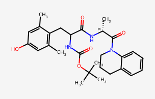 Cc1cc(O)cc(C)c1CC(NC(=O)OC(C)(C)C)C(=O)N[C@H](C)C(=O)N1CCCc2ccccc21